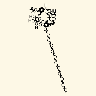 COCCOCCOCCOCCOCCOCCOCCOCCOCCOCCOCCOc1ccc(C[C@@H](C(=O)N[C@H](C(=O)N[C@@H](C)C(=O)Nc2ccc(COC(=O)C(C)C)c(CC[C@@H]3O[C@H](C(=O)O)[C@@H](O)[C@H](O)[C@H]3O)c2)C(C)C)N2C(=O)C=CC2=O)cc1